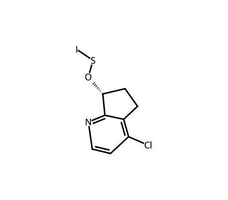 Clc1ccnc2c1CC[C@H]2OSI